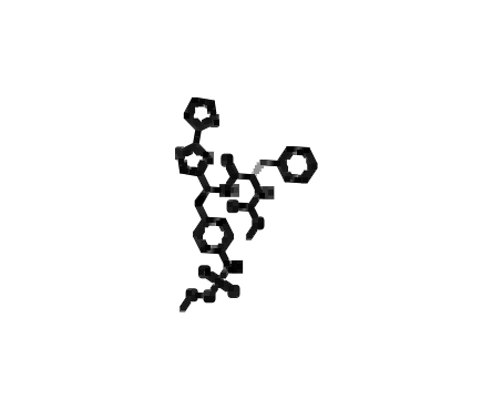 COOS(=O)(=O)Nc1ccc(C[C@H](NC(=O)[C@H](Cc2ccccc2)NC(=O)OC)c2csc(-c3cccs3)n2)cc1